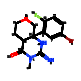 CN1C(=N)N[C@@]2(c3cc(Br)ccc3F)COCCC2C1=O